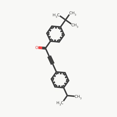 CC(C)c1ccc(C#CC(=O)c2ccc(C(C)(C)C)cc2)cc1